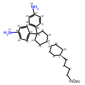 CCCCCCCCCCCCCC[C@H]1CC[C@H](C2CCC(c3ccc(N)cc3)(c3ccc(N)cc3)CC2)CC1